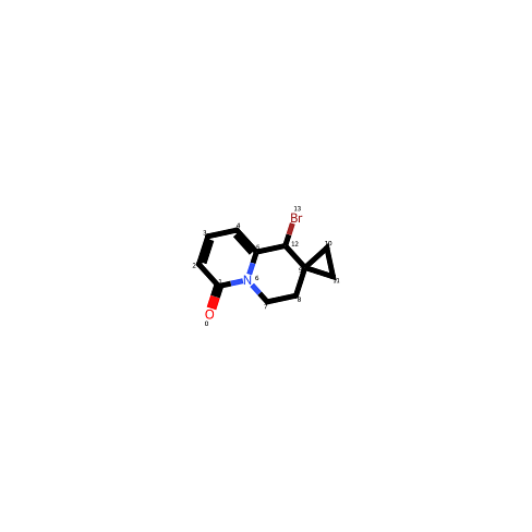 O=c1cccc2n1CCC1(CC1)C2Br